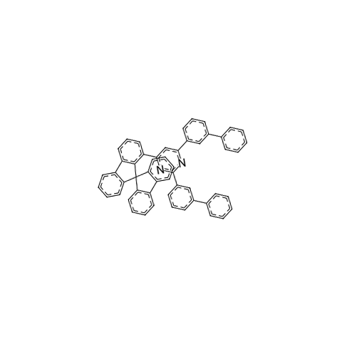 c1ccc(-c2cccc(-c3cc(-c4cccc5c4C4(c6ccccc6-c6ccccc64)c4ccccc4-5)nc(-c4cccc(-c5ccccc5)c4)n3)c2)cc1